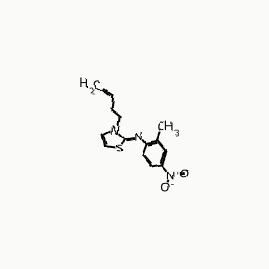 C=CCCn1ccsc1=Nc1ccc([N+](=O)[O-])cc1C